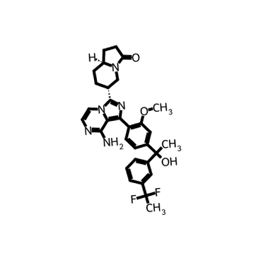 COc1cc(C(C)(O)c2cccc(C(C)(F)F)c2)ccc1-c1nc([C@@H]2CC[C@H]3CCC(=O)N3C2)n2ccnc(N)c12